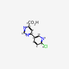 O=C(O)c1cc(-c2ccc(Cl)nc2)ncn1